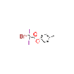 Cc1ccc(OC(=O)/C(I)=C(/Br)I)cc1